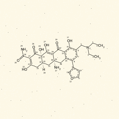 CCN(CC)Cc1cc(-c2ccoc2)c2c(c1O)C(=O)C1=C(O)[C@]3(O)C(=O)C(C(N)=O)=C(O)C[C@@H]3C[C@]1(N)C2